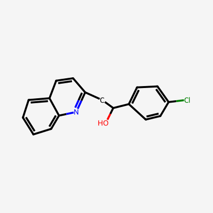 OC(Cc1ccc2ccccc2n1)c1ccc(Cl)cc1